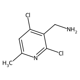 Cc1cc(Cl)c(CN)c(Cl)n1